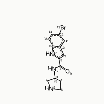 O=C(N[C@H]1CCNC1)c1cc2cc(Br)ccc2[nH]1